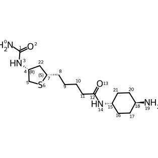 NC(=O)N[C@H]1CS[C@@H](CCCCC(=O)N[C@H]2CC[C@H](N)CC2)C1